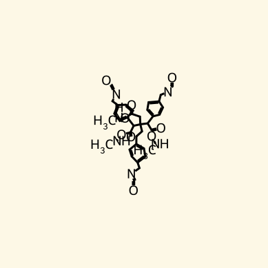 CNOC(=O)CC(CCc1ccc(CN=C=O)cc1)(C(C(=O)ONC)c1ccc(CN=C=O)cc1)C(C(=O)ONC)c1ccc(CN=C=O)cc1